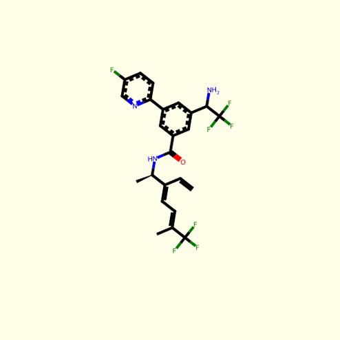 C=C/C(=C\C=C(/C)C(F)(F)F)[C@@H](C)NC(=O)c1cc(-c2ccc(F)cn2)cc(C(N)C(F)(F)F)c1